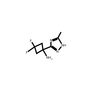 Cc1nc(C2(N)CC(F)(F)C2)n[nH]1